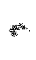 Cc1ccc([S+]([O-])NCc2c[nH]c3nc(-c4ccccc4)c(-c4cc(Cl)c5ncccc5c4)cc3c2=O)cn1